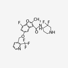 Cc1oc2c(F)cc(OCc3cccnc3C(F)(F)F)cc2c1C(=O)NC1CCNCC1(F)F